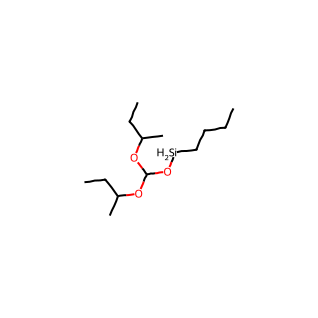 CCCC[SiH2]OC(OC(C)CC)OC(C)CC